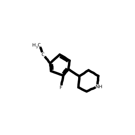 CCc1ccc(C2CCNCC2)c(F)c1